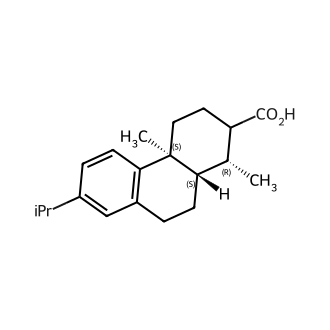 CC(C)c1ccc2c(c1)CC[C@H]1[C@@H](C)C(C(=O)O)CC[C@]21C